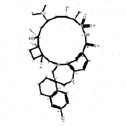 C[C@@H]1[C@@H](C)C[C@H](N(C)C)C[C@](C)(O)[C@@H]2CC[C@H]2CN2C[C@@]3(CCCc4cc(Cl)ccc43)COc3ccc(cc32)C(=O)NS1(=O)=O